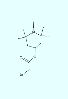 CN1C(C)(C)CC(OC(=O)CBr)CC1(C)C